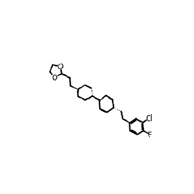 Fc1ccc(CC[C@H]2CC[C@H]([C@H]3CC[C@H](CCC4OCCO4)CC3)CC2)cc1Cl